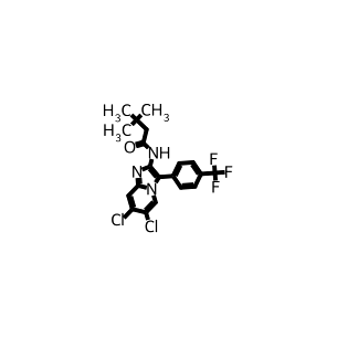 CC(C)(C)CC(=O)Nc1nc2cc(Cl)c(Cl)cn2c1-c1ccc(C(F)(F)F)cc1